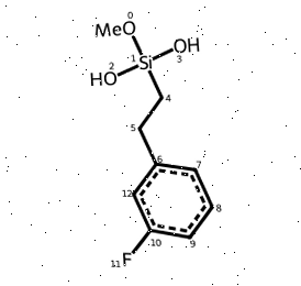 CO[Si](O)(O)CCc1cccc(F)c1